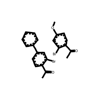 CC(=O)c1ccc(-c2ccccc2)cc1Br.COc1ccc(C(C)=O)c(Br)c1